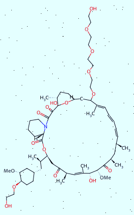 CO[C@@H]1C[C@H](C[C@@H](C)[C@@H]2CC(=O)[C@H](C)/C=C(\C)[C@@H](O)[C@@H](OC)C(=O)[C@H](C)C[C@H](C)/C=C/C=C/C=C(\C)C(OCCOCCOCCOCCO)C[C@@H]3CC[C@@H](C)[C@@](O)(O3)C(=O)C(=O)N3CCCC[C@H]3C(=O)O2)CC[C@H]1OCCO